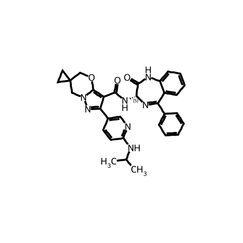 CC(C)Nc1ccc(-c2nn3c(c2C(=O)N[C@H]2N=C(c4ccccc4)c4ccccc4NC2=O)OCC2(CC2)C3)cn1